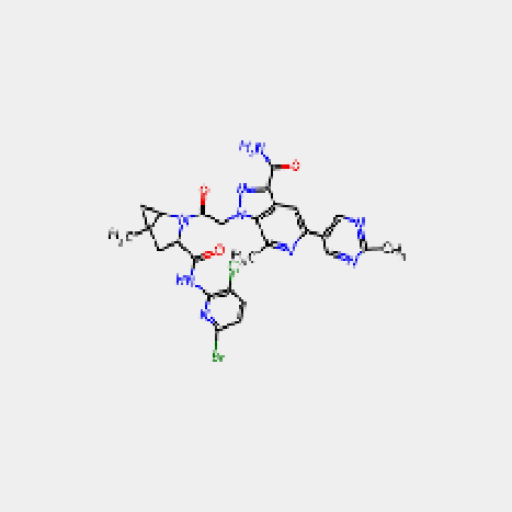 Cc1ncc(-c2cc3c(C(N)=O)nn(CC(=O)N4C(C(=O)Nc5nc(Br)ccc5Cl)CC5(C)CC45)c3c(C)n2)cn1